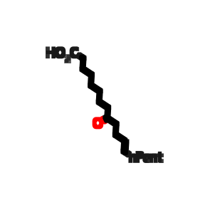 CCCCCC=CCCC(=O)CCCCCCCC(=O)O